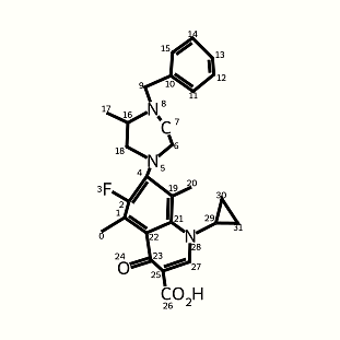 Cc1c(F)c(N2CCN(Cc3ccccc3)C(C)C2)c(C)c2c1c(=O)c(C(=O)O)cn2C1CC1